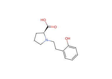 O=C(O)[C@@H]1CCCN1CCc1ccccc1O